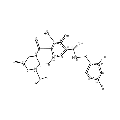 CC(C)N1C[C@@H](C)CN2C(=O)c3c(O)c(=O)c(C(=O)NCc4ccc(F)cc4F)cn3CC21